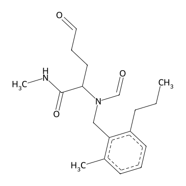 CCCc1cccc(C)c1CN(C=O)C(CCC=O)C(=O)NC